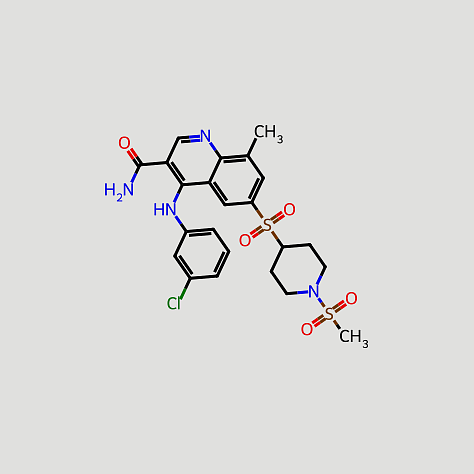 Cc1cc(S(=O)(=O)C2CCN(S(C)(=O)=O)CC2)cc2c(Nc3cccc(Cl)c3)c(C(N)=O)cnc12